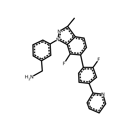 Cc1nn(-c2cccc(CN)c2)c2c(F)c(-c3ccc(-c4ccccn4)cc3F)ccc12